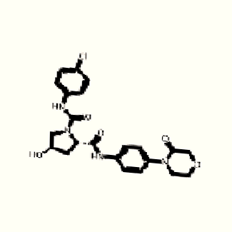 O=C(Nc1ccc(N2CCOCC2=O)cc1)[C@@H]1C[C@@H](O)CN1C(=O)Nc1ccc(Cl)cc1